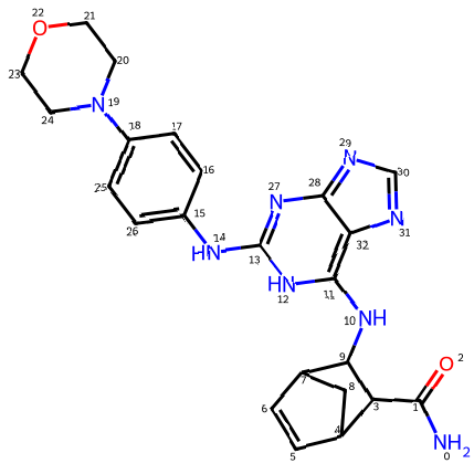 NC(=O)C1C2C=CC(C2)C1Nc1[nH]c(Nc2ccc(N3CCOCC3)cc2)nc2ncnc1-2